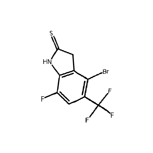 Fc1cc(C(F)(F)F)c(Br)c2c1NC(=S)C2